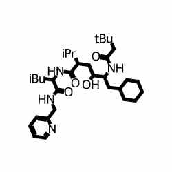 CCC(C)C(NC(=O)C(CC(O)C(CC1CCCCC1)NC(=O)CC(C)(C)C)C(C)C)C(=O)NCc1ccccn1